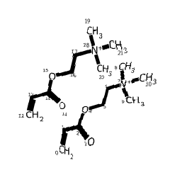 C=CC(=O)OCC[N+](C)(C)C.C=CC(=O)OCC[N+](C)(C)C